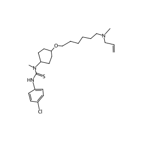 C=CCN(C)CCCCCCOC1CCC(N(C)C(=S)Nc2ccc(Cl)cc2)CC1